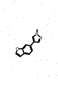 Cn1cc(-c2ccc3ccoc3c2)cn1